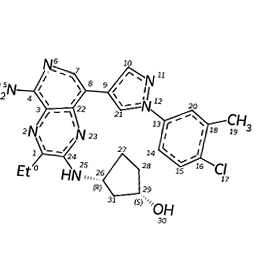 CCc1nc2c(N)ncc(-c3cnn(-c4ccc(Cl)c(C)c4)c3)c2nc1N[C@@H]1CC[C@H](O)C1